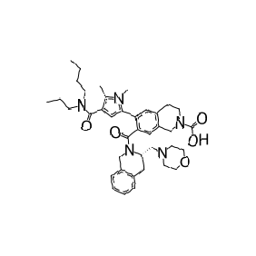 CCCCN(CCC)C(=O)c1cc(-c2cc3c(cc2C(=O)N2Cc4ccccc4C[C@H]2CN2CCOCC2)CN(C(=O)O)CC3)n(C)c1C